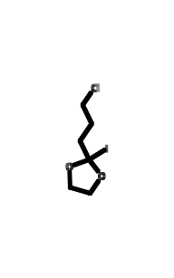 ClCCCC1(I)OCCO1